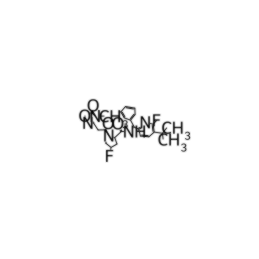 CC(C)c1ccc(C(NC(=O)C2CC(F)CN2C(=O)Cc2noc(=O)n2C)c2ccccc2)nc1F